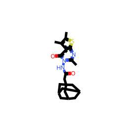 Cc1sc2nc(C)n(NC(=O)CC34CC5CC(CC(C5)C3)C4)c(=O)c2c1C